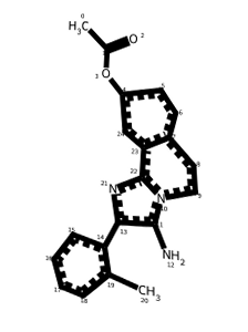 CC(=O)Oc1ccc2ccn3c(N)c(-c4ccccc4C)nc3c2c1